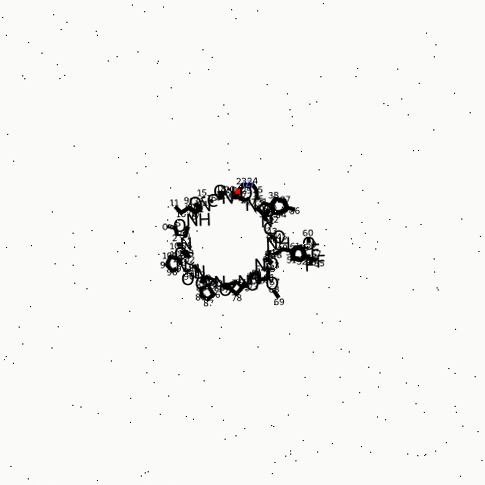 CCC[C@H]1C(=O)N[C@@H]([C@@H](C)CC)C(=O)N(C)CC(=O)N(C)[C@H]2C/C=C\CCN(C2=O)[C@@H](Cc2ccc(C)cc2)C(=O)N(C)CC(=O)N[C@@H](CCc2ccc(C(F)(F)F)c(OC)c2)C(=O)N2C[C@H](OCC)C[C@H]2C(=O)N(C)C2(CCC2)C(=O)N(C)[C@@H](C2CCCC2)C(=O)N(C)[C@H](C(=O)N2CCCC2)CC(=O)N1C